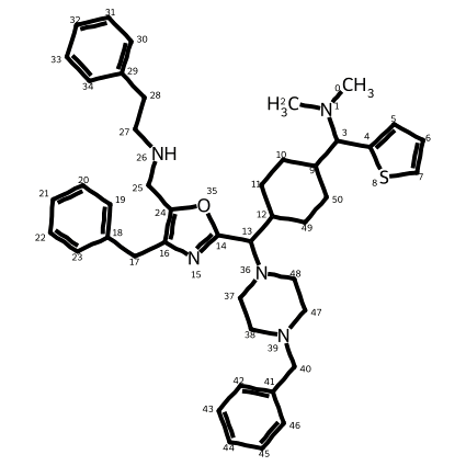 CN(C)C(c1cccs1)C1CCC(C(c2nc(Cc3ccccc3)c(CNCCc3ccccc3)o2)N2CCN(Cc3ccccc3)CC2)CC1